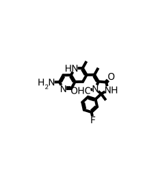 CC1=C(/C(C)=C2/C(=O)NC(C)(c3cccc(F)c3)N2C=O)Cc2cnc(N)cc2N1